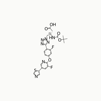 CC(C)(C)OC(=O)N[C@@H](CC(=O)O)Cn1nnc(-c2ccc(Oc3ncc(-c4cncs4)cc3F)cc2F)n1